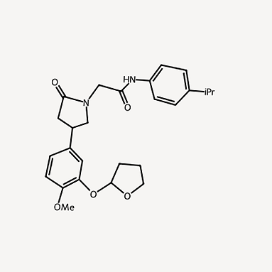 COc1ccc(C2CC(=O)N(CC(=O)Nc3ccc(C(C)C)cc3)C2)cc1OC1CCCO1